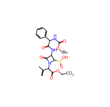 C=C(C)C(C(=O)OCC(Cl)(Cl)Cl)N1C(=O)C(NC(=O)C(NC(=O)OC(C)(C)C)c2ccccc2)C1S(=O)O